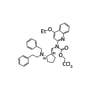 CCOc1cc(N(C[C@H]2CCC[C@@H]2N(CCc2ccccc2)Cc2ccccc2)C(=O)OCC(Cl)(Cl)Cl)nc2ccccc12